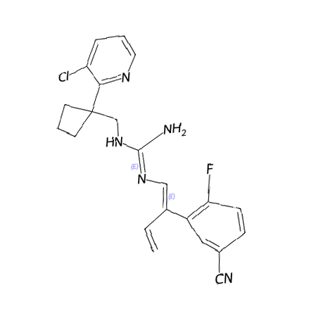 C=C/C(=C\N=C(/N)NCC1(c2ncccc2Cl)CCC1)c1cc(C#N)ccc1F